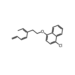 C=C/C=C\C(=C/C)CCOc1ccc(Cl)c2ccccc12